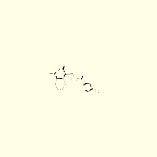 Cc1[nH]c(=O)c(CNC(=O)c2cc([N+](=O)[O-])co2)c2c1CCCC2